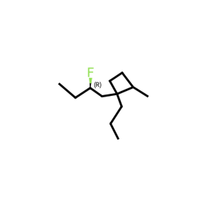 CCCC1(C[C@H](F)CC)CCC1C